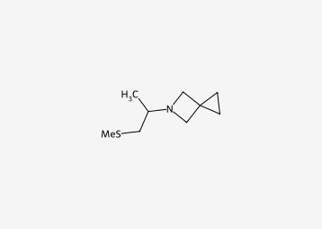 CSCC(C)N1CC2(CC2)C1